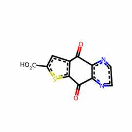 O=C(O)c1cc2c(s1)C(=O)c1nccnc1C2=O